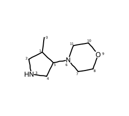 CC1CNCC1N1CCOCC1